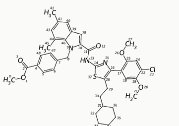 COC(=O)c1ccc(Cn2c(C(=O)Nc3nc(-c4cc(OC)c(Cl)cc4OC)c(CCC4CCCCC4)s3)cc3cc(C)cc(C)c32)cc1